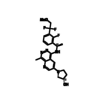 COCC(F)(F)c1cccc([C@@H](C)Nc2nnc(C)c3ncc(N4CC[C@H](O)C4)cc23)c1F